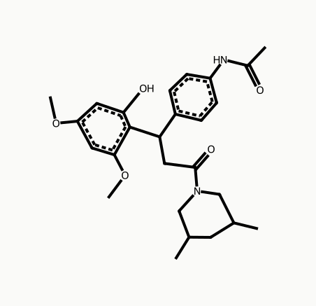 COc1cc(O)c(C(CC(=O)N2CC(C)CC(C)C2)c2ccc(NC(C)=O)cc2)c(OC)c1